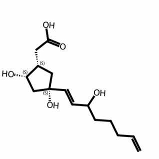 C=CCCCC(O)C=C[C@]1(O)C[C@@H](CC(=O)O)[C@@H](O)C1